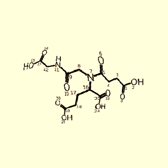 O=C(O)CCC(=O)N(CC(=O)NCC(=O)O)C(CCC(=O)O)C(=O)O